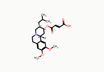 COc1cc2c(cc1OC)[C@H]1C[C@@H](OC(=O)/C=C/C(=O)O)[C@H](CC(C)C)CN1CC2